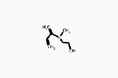 C=CC(=C)N(C)CCO